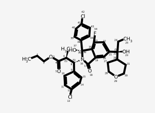 CCCOC(=O)[C@@H](C)[C@@H](c1ccc(Cl)cc1)N1C(=O)c2cc([C@](O)(CC)C3CCOCC3)cc(F)c2[C@]1(O)c1ccc(Cl)cc1